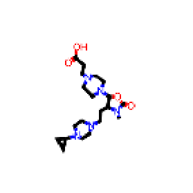 CN1C(=O)OC(N2CCN(CCC(=O)O)CC2)C1CCN1CCN(C2CC2)CC1